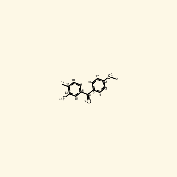 CSc1ccc(C(=O)c2ccc(C)c(F)c2)cc1